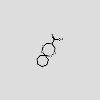 O=C(O)C1COOC2(CCCCCC2)OOC1